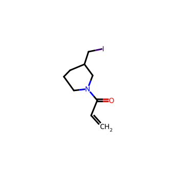 C=CC(=O)N1CCCC(CI)C1